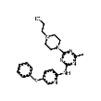 Cc1nc(Nc2ccc(Sc3ccccc3)cn2)nc(N2CCN(CCO)CC2)n1